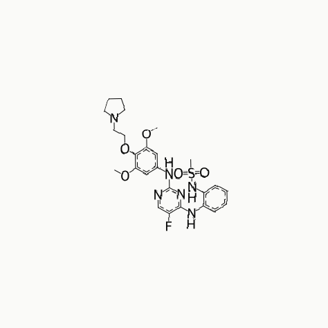 COc1cc(Nc2ncc(F)c(Nc3ccccc3NS(C)(=O)=O)n2)cc(OC)c1OCCN1CCCC1